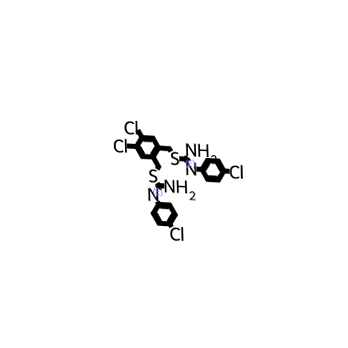 N/C(=N\c1ccc(Cl)cc1)SCc1cc(Cl)c(Cl)cc1CS/C(N)=N/c1ccc(Cl)cc1